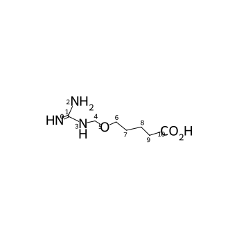 N=C(N)NCOCCCCC(=O)O